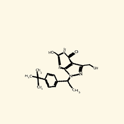 CC(c1ccc(C(C)(C)C)cc1)n1nc(CO)c2c(=O)[nH]c(O)nc21